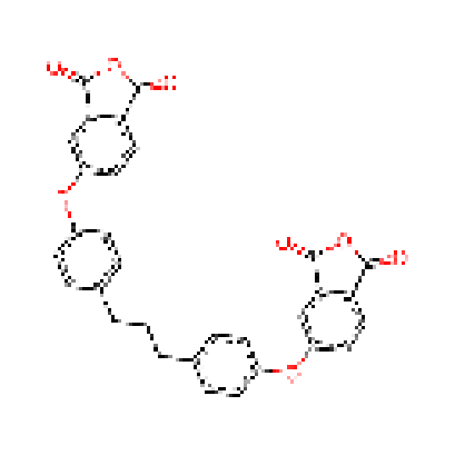 O=C1OC(=O)c2cc(Oc3ccc(CCCc4ccc(Oc5ccc6c(c5)C(=O)OC6=O)cc4)cc3)ccc21